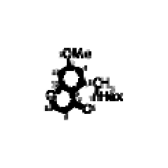 CCCCCCC.COc1ccc2c(=O)ccoc2c1